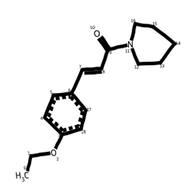 CCOc1ccc(/C=C/C(=O)N2CCCCC2)cc1